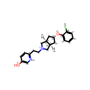 Oc1ccc(CCN2C[C@H]3C[C@H](Oc4ccccc4F)C[C@H]3C2)nc1